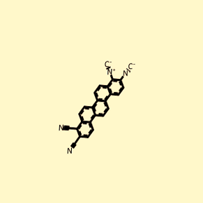 [C-]#[N+]c1ccc2c(ccc3c2ccc2c4ccc(C#N)c(C#N)c4ccc23)c1[N+]#[C-]